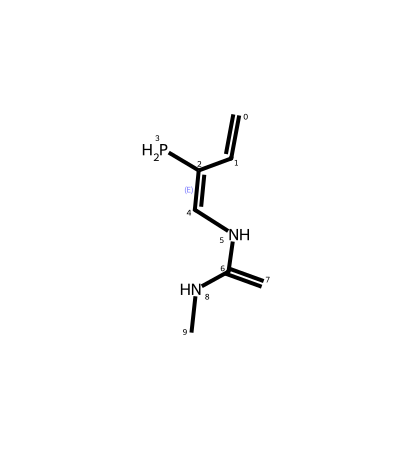 C=C/C(P)=C\NC(=C)NC